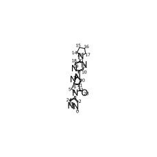 Cn1cc(N2Cc3nn(-c4cnc(N5CCCC5)cn4)cc3C2=O)cn1